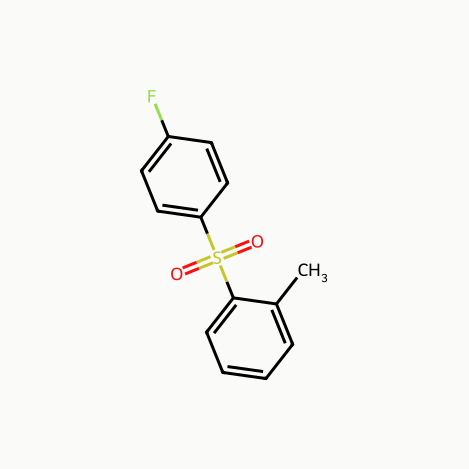 Cc1ccccc1S(=O)(=O)c1ccc(F)cc1